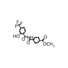 COC(=O)c1ccc(C(=O)NC(=O)c2ccc(C(F)(F)F)cc2O)cc1